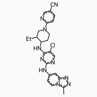 CCC1CN(c2ccc(C#N)cn2)CCC1Nc1nc(Nc2ccn3c(C)nnc3c2)ncc1Cl